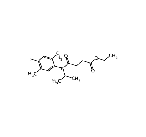 CCOC(=O)CCC(=O)N(c1cc(C)c(I)cc1C)C(C)C